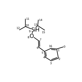 Cc1cccc(C=CO[SiH](C(C)C)C(C)C)c1